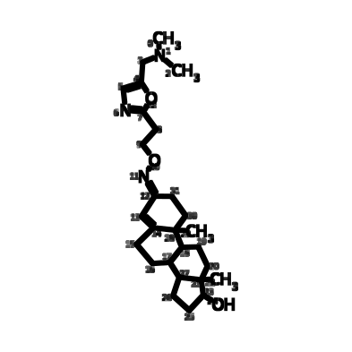 CN(C)Cc1cnc(CCON=C2C=C3CCC4C(CCC5(C)C(O)CCC45)C3(C)CC2)o1